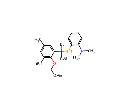 CCCCC(CC)(Pc1ccccc1N(C)C)c1cc(C)cc(C(C)(C)C)c1OCOC